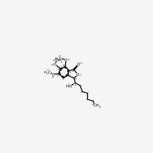 CCCCCC[C@@H](O)C1OC(=O)c2c1cc(OC)c(OC)c2OC